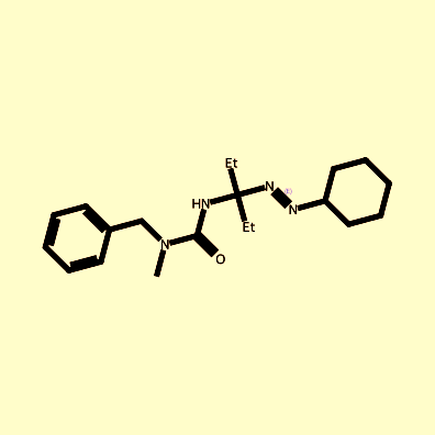 CCC(CC)(/N=N/C1CCCCC1)NC(=O)N(C)Cc1ccccc1